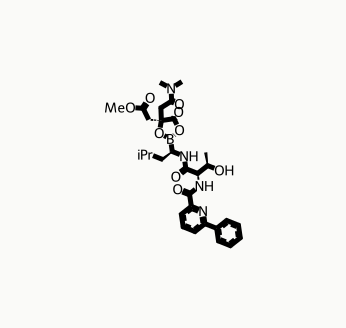 COC(=O)C[C@@]1(CC(=O)N(C)C)OB([C@H](CC(C)C)NC(=O)[C@@H](NC(=O)c2cccc(-c3ccccc3)n2)[C@@H](C)O)OC1=O